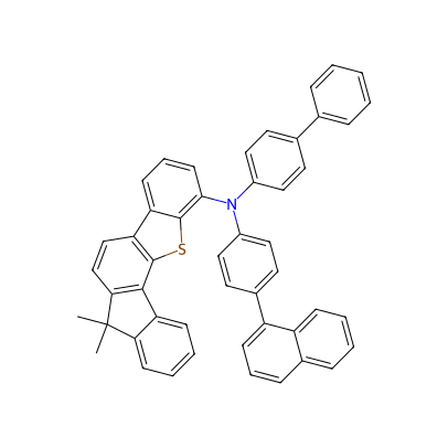 CC1(C)c2ccccc2-c2c1ccc1c2sc2c(N(c3ccc(-c4ccccc4)cc3)c3ccc(-c4cccc5ccccc45)cc3)cccc21